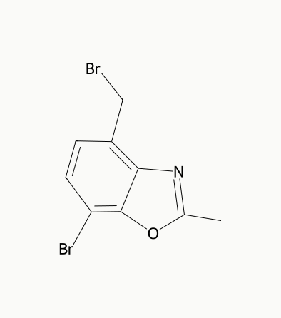 Cc1nc2c(CBr)ccc(Br)c2o1